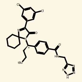 CC(C)(C)CC[C@H](c1ccc(C(=O)NCc2nn[nH]n2)cc1)N1C(=O)C(c2cc(Cl)cc(Cl)c2)=NC12CCCCC2